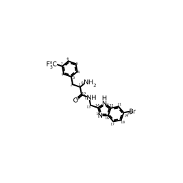 NC(Cc1cccc(C(F)(F)F)c1)C(=O)NCc1nc2ccc(Br)cc2[nH]1